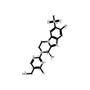 CCc1cc2nc3n(c2cc1S(C)(=O)=O)CCN(c1ncc(CO)c(C)n1)[C@@H]3C(C)C